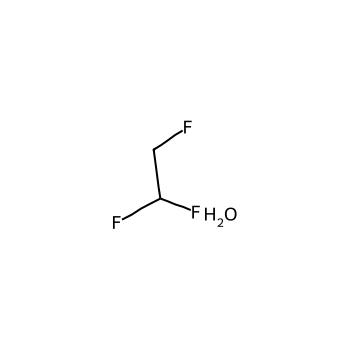 FCC(F)F.O